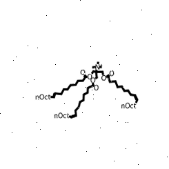 CCCCCCCCC=CCCCCCCCC(=O)OCC(COC(=O)CCCCCCC/C=C\CCCCCCCC)(COC(=O)CCCCCCC/C=C\CCCCCCCC)[N+](C)(C)C